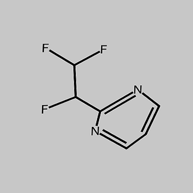 FC(F)C(F)c1ncccn1